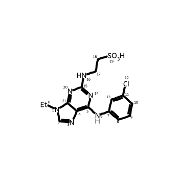 CCn1cnc2c(Nc3cccc(Cl)c3)nc(NCCS(=O)(=O)O)nc21